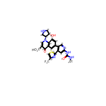 CCNC(=O)Nc1cc(-c2nc(C(F)(F)F)cs2)c(-c2ccc3c(c2)c(=O)c(C(=O)O)cn3[C@H]2CNC[C@@H]2O)cn1